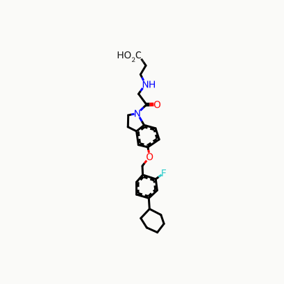 O=C(O)CCNCC(=O)N1CCc2cc(OCc3ccc(C4CCCCC4)cc3F)ccc21